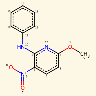 COc1ccc([N+](=O)[O-])c(Nc2ccccc2)n1